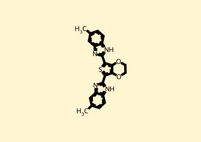 Cc1ccc2[nH]c(-c3sc(-c4nc5cc(C)ccc5[nH]4)c4c3OCCO4)nc2c1